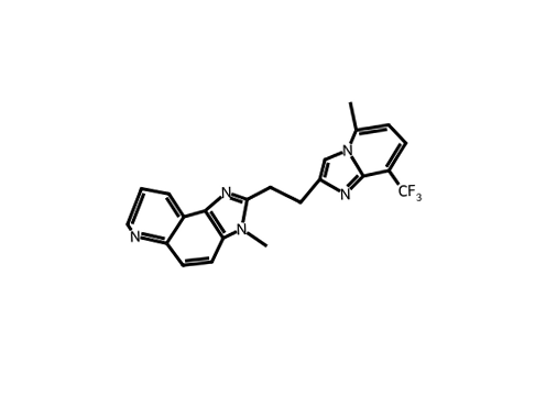 Cc1ccc(C(F)(F)F)c2nc(CCc3nc4c5cccnc5ccc4n3C)cn12